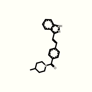 CC1CCN(C(=O)c2ccc(/C=C/c3n[nH]c4ccccc34)cc2)CC1